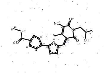 CC1=C(C#N)C(=O)N(CC(C)O)C(=O)/C1=C/c1ccc(-c2ccc(C(=O)OC(C)C)cc2)o1